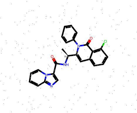 C[C@H](NC(=O)c1cnc2ccccn12)c1cc2cccc(Cl)c2c(=O)n1-c1ccccc1